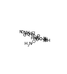 Cc1cc(C(=O)NC2CCN(C)CC2)ccc1-c1ccc(C[C@H](NC(=O)[C@H]2CC[C@H](CN)CC2)C(=O)Nc2ccc(-c3nn[nH]n3)cc2)cc1.Cl